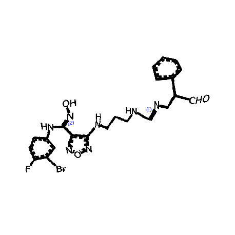 O=CC(C/N=C/NCCCNc1nonc1/C(=N/O)Nc1ccc(F)c(Br)c1)c1ccccc1